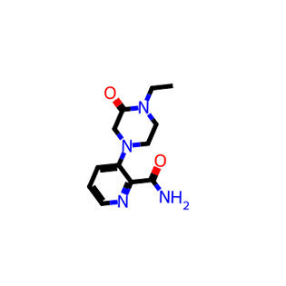 CCN1CCN(c2cccnc2C(N)=O)CC1=O